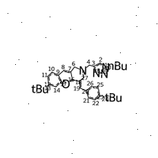 CCCCn1cc(CN2C/C(=C/c3ccc(C(C)(C)C)cc3)C(=O)/C(=C/c3ccc(C(C)(C)C)cc3)C2)nn1